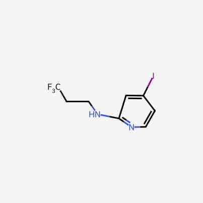 FC(F)(F)CCNc1cc(I)ccn1